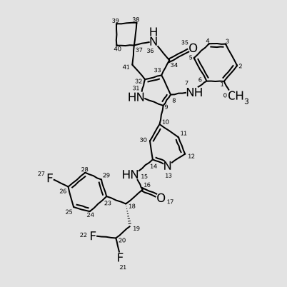 Cc1ccccc1Nc1c(-c2ccnc(NC(=O)[C@H](CC(F)F)c3ccc(F)cc3)c2)[nH]c2c1C(=O)NC1(CCC1)C2